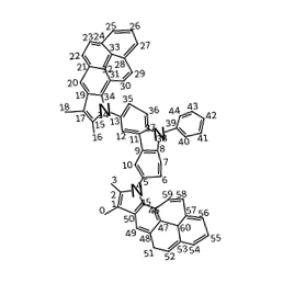 Cc1c(C)n(-c2ccc3c(c2)c2cc(-n4c(C)c(C)c5cc6ccc7cccc8ccc(c6c78)c54)ccc2n3-c2ccccc2)c2c3c4c(cc12)CC=C1C=CC=C(C=C3)C14